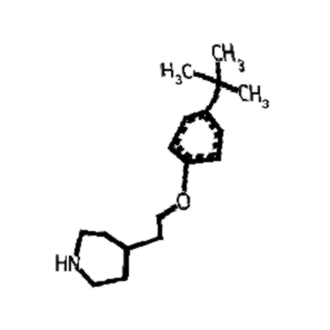 CC(C)(C)c1ccc(OCCC2CCNCC2)cc1